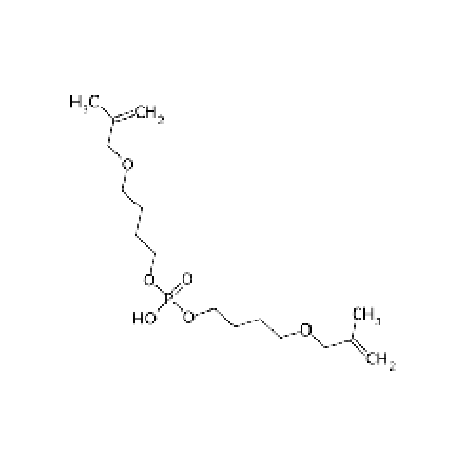 C=C(C)COCCCCOP(=O)(O)OCCCCOCC(=C)C